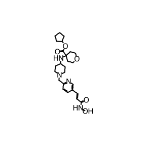 O=C(C=Cc1ccc(CN2CCC(NC3(C(=O)OC4CCCC4)CCOCC3)CC2)nc1)NO